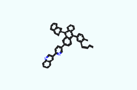 C=C/C=C\c1cc(-c2c3ccccc3c(-c3ccc4ccccc4c3)c3cc(-c4ccc(-c5cnc6ccccc6c5)nc4)ccc23)ccc1C